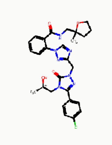 CC1(CNC(=O)c2ccccc2-n2cnc(Cn3nc(-c4ccc(Cl)cc4)n(C[C@H](O)C(F)(F)F)c3=O)n2)CCCO1